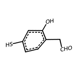 O=CCc1ccc(S)cc1O